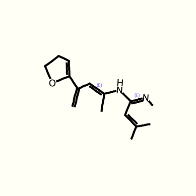 C=C(/C=C(\C)N/C(C=C(C)C)=N/C)C1=CCCO1